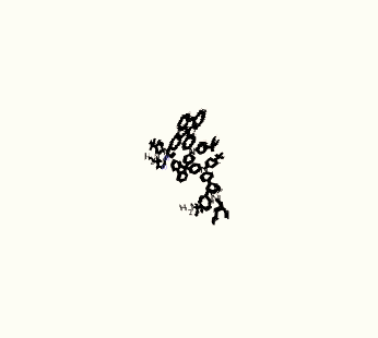 C=C/C(=C\C=C/C(C)C(C)(N)CCC)N(c1ccc(C(C)(C)C)cc1)c1ccc(C2(c3ccc(N(c4ccc(C(C)(C)C)cc4)c4ccc(C5(c6ccc(N(c7ccc(-c8ccc9c(c8)c8c(n9CC(CC)CCCC)C=CC(C)(C(C)(N)CC)C=C8)cc7)c7ccc(C(C)(C)C)cc7)cc6)c6ccccc6-c6ccccc65)cc4)cc3)c3ccccc3-c3ccccc32)cc1